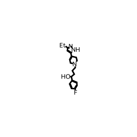 CCc1cc(C2=CCN(CCCC(O)c3ccc(F)cc3)CC2)[nH]n1